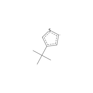 CC(C)(C)c1c[c]sc1